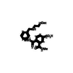 CCCCCCCCCCCCNCc1ccccc1.COC(=O)c1ccc(S(=O)(=O)O)cc1C(=O)OC